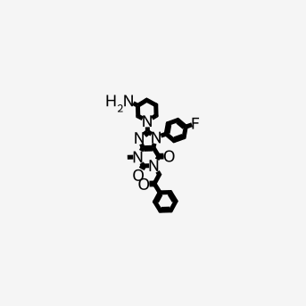 Cn1c(=O)n(CC(=O)c2ccccc2)c(=O)c2c1nc(N1CCCC(N)C1)n2-c1ccc(F)cc1